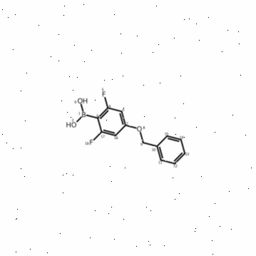 OB(O)c1c(F)cc(OCc2ccccc2)cc1F